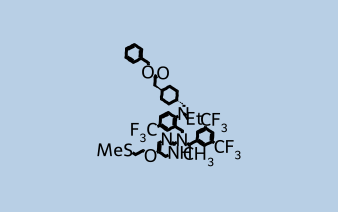 CCN(C[C@H]1CC[C@H](CC(=O)OCc2ccccc2)CC1)c1ccc(C(F)(F)F)cc1CN(C1=NC=C(OCCSC)CN1)C(C)c1cc(C(F)(F)F)cc(C(F)(F)F)c1